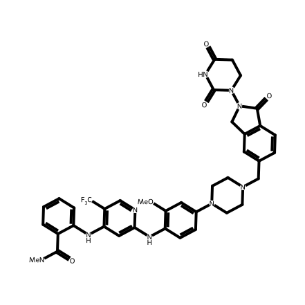 CNC(=O)c1ccccc1Nc1cc(Nc2ccc(N3CCN(Cc4ccc5c(c4)CN(N4CCC(=O)NC4=O)C5=O)CC3)cc2OC)ncc1C(F)(F)F